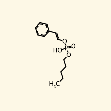 CCCCCOP(=O)(O)OC=Cc1ccccc1